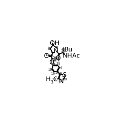 CC(=O)NC(C(=O)N1CC(O)CC1C(=O)NOc1ccc(-c2scnc2C)cc1)C(C)(C)C